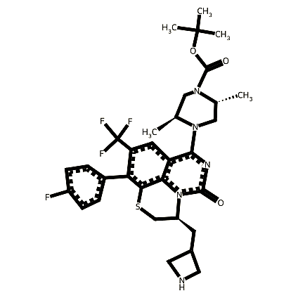 C[C@@H]1CN(c2nc(=O)n3c4c(c(-c5ccc(F)cc5)c(C(F)(F)F)cc24)SC[C@@H]3CC2CNC2)[C@@H](C)CN1C(=O)OC(C)(C)C